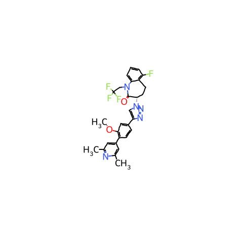 COc1cc(-c2cn([C@H]3CCc4c(F)cccc4N(CC(F)(F)F)C3=O)nn2)ccc1-c1cc(C)nc(C)c1